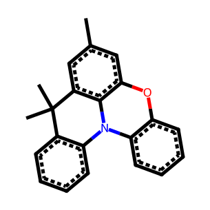 Cc1cc2c3c(c1)C(C)(C)c1ccccc1N3c1ccccc1O2